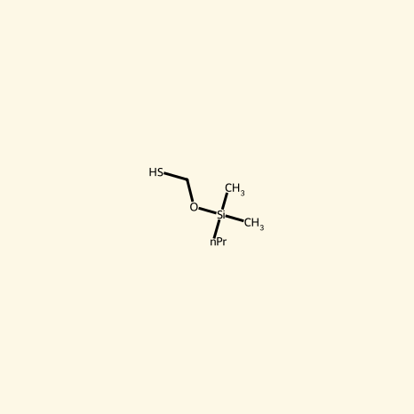 CCC[Si](C)(C)OCS